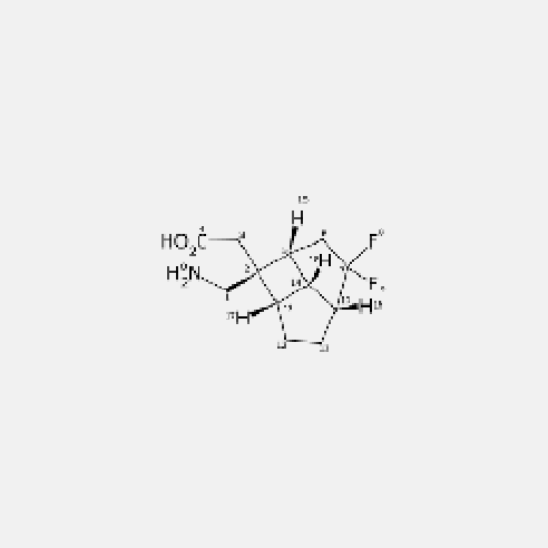 NC[C@@]1(CC(=O)O)[C@@H]2CC(F)(F)[C@@H]3CC[C@H]1[C@@H]32